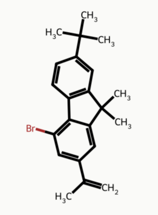 C=C(C)c1cc(Br)c2c(c1)C(C)(C)c1cc(C(C)(C)C)ccc1-2